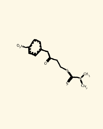 CN(C)C(=S)SCCC(=O)Cc1ccc([N+](=O)[O-])cc1